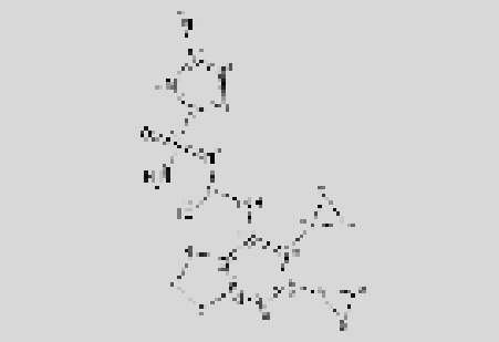 CCn1ccc(S(N)(=O)=NC(O)Nc2c3c(nc(C4CC4)c2C2CC2)CCC3)n1